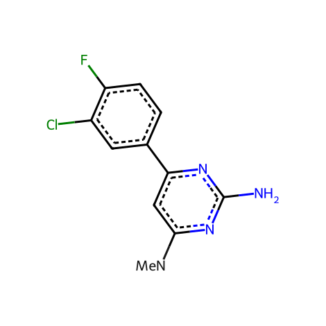 CNc1cc(-c2ccc(F)c(Cl)c2)nc(N)n1